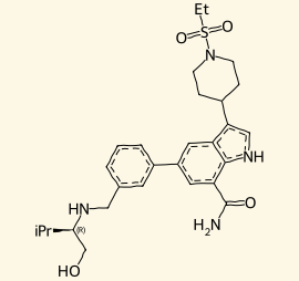 CCS(=O)(=O)N1CCC(c2c[nH]c3c(C(N)=O)cc(-c4cccc(CN[C@@H](CO)C(C)C)c4)cc23)CC1